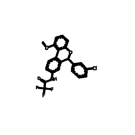 COc1cccc2c1-c1ccc(NC(=O)C(F)(F)F)cc1C(c1cccc(Cl)c1)O2